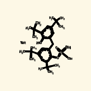 CC(C)(C)c1cc(Cc2cc(C(C)(C)C)cc(C(C)(C)C)c2OP(=O)(O)O)c(O)c(C(C)(C)C)c1.[NaH]